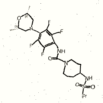 CC(C)S(=O)(=O)NC1CCN(C(=O)Nc2c(F)c(F)c(N3C[C@@H](C)O[C@@H](C)C3)c(F)c2F)CC1